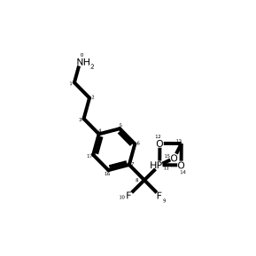 NCCCc1ccc(C(F)(F)[PH]23OC(O2)O3)cc1